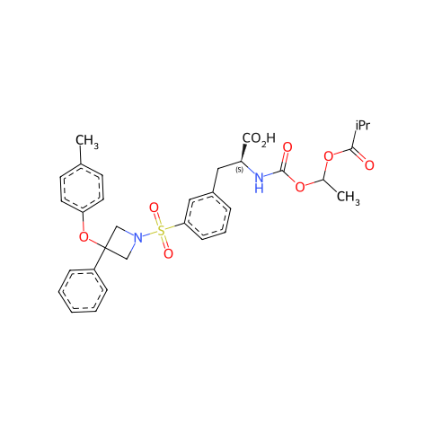 Cc1ccc(OC2(c3ccccc3)CN(S(=O)(=O)c3cccc(C[C@H](NC(=O)OC(C)OC(=O)C(C)C)C(=O)O)c3)C2)cc1